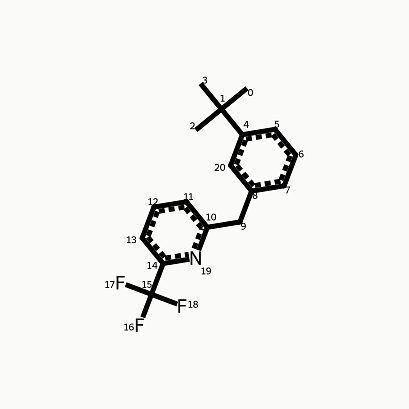 CC(C)(C)c1cccc(Cc2cccc(C(F)(F)F)n2)c1